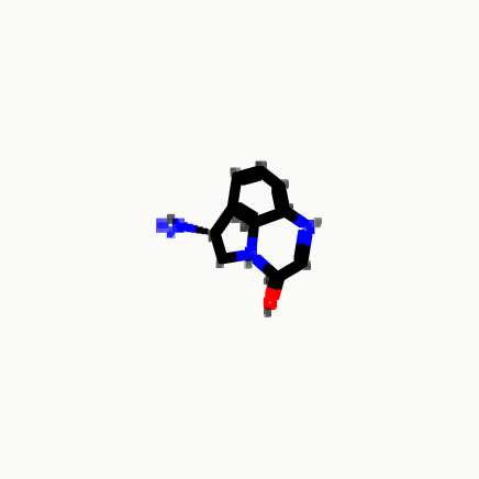 N[C@H]1Cn2c(=O)cnc3cccc1c32